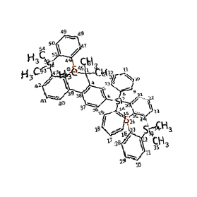 CC(C)(C)c1cc([Si](c2ccccc2)(c2ccccc2)c2cccc3c2Sc2ccccc2[Si]3(C)C)ccc1-c1cccc2c1Sc1ccccc1[Si]2(C)C